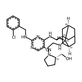 N#Cc1cnc(NCc2ccccc2Cl)nc1NC[C@]12CC3C[C@H](C1)[C@@H](NCCN1CCC[C@H]1CO)[C@@H](C3)C2